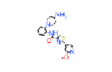 COc1cc(-c2nc(C(=O)Nc3ccccc3N3CCC(N)CC3)cs2)ccn1